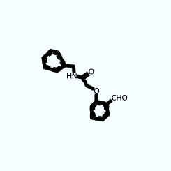 O=Cc1ccccc1OCC(=O)NCc1ccccc1